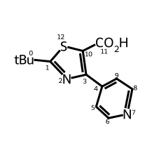 CC(C)(C)c1nc(-c2ccncc2)c(C(=O)O)s1